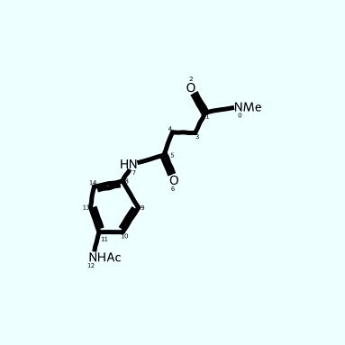 CNC(=O)CCC(=O)Nc1ccc(NC(C)=O)cc1